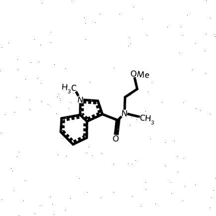 COCCN(C)C(=O)c1cn(C)c2ccccc12